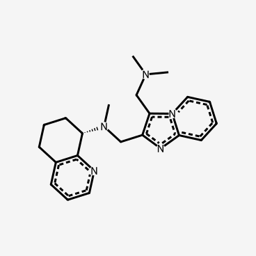 CN(C)Cc1c(CN(C)[C@H]2CCCc3cccnc32)nc2ccccn12